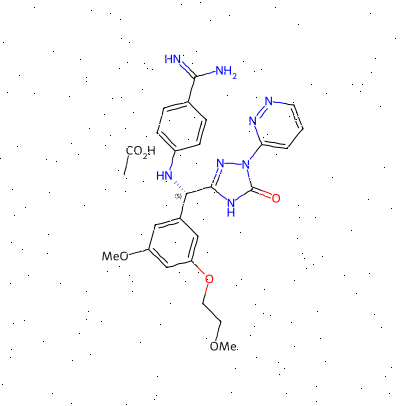 CC(=O)O.COCCOc1cc(OC)cc([C@H](Nc2ccc(C(=N)N)cc2)c2nn(-c3cccnn3)c(=O)[nH]2)c1